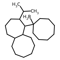 BC1(C2C(C(C)C)CCCC3CCCCCCC32)CCCCCCC1